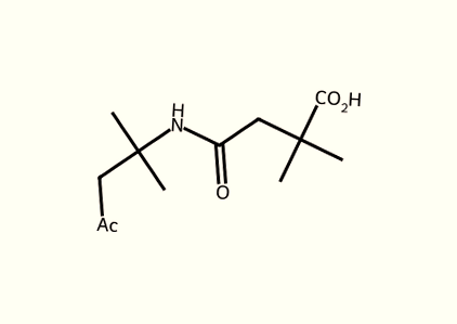 CC(=O)CC(C)(C)NC(=O)CC(C)(C)C(=O)O